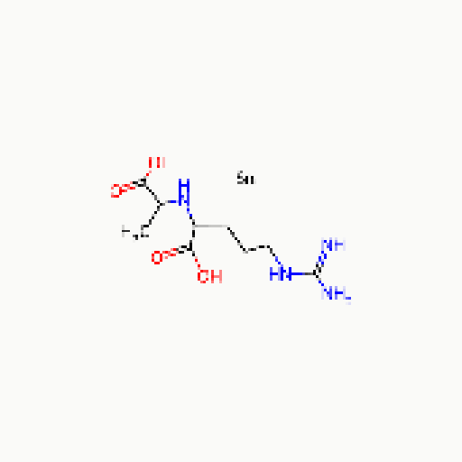 CC(NC(CCCNC(=N)N)C(=O)O)C(=O)O.[Sn]